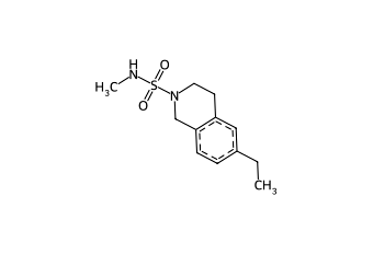 CCc1ccc2c(c1)CCN(S(=O)(=O)NC)C2